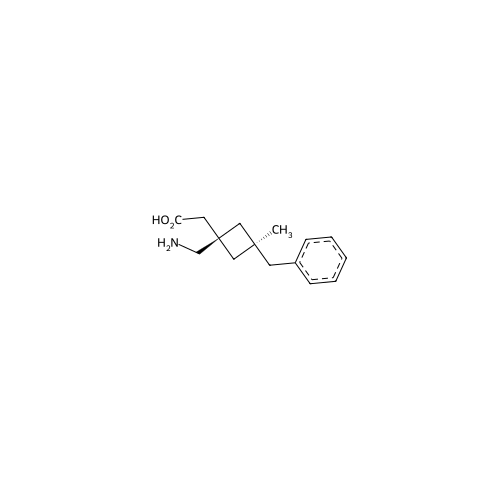 C[C@]1(Cc2ccccc2)C[C@](CN)(CC(=O)O)C1